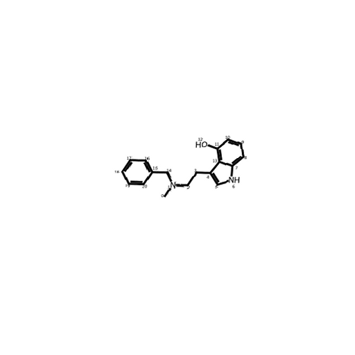 CN(CCc1c[nH]c2cccc(O)c12)Cc1ccccc1